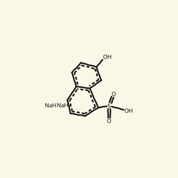 O=S(=O)(O)c1cccc2ccc(O)cc12.[NaH].[NaH]